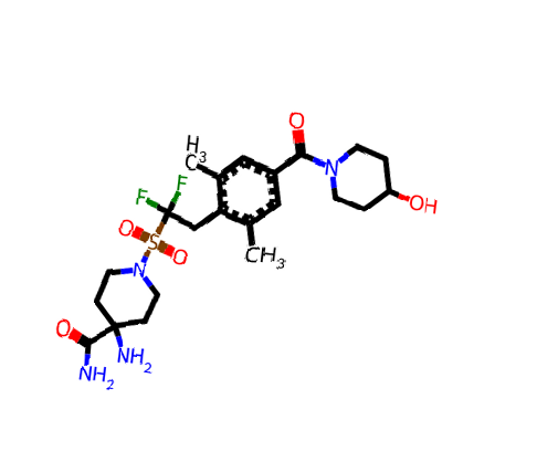 Cc1cc(C(=O)N2CCC(O)CC2)cc(C)c1CC(F)(F)S(=O)(=O)N1CCC(N)(C(N)=O)CC1